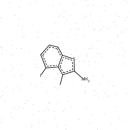 Cc1c(N)sc2cccc(I)c12